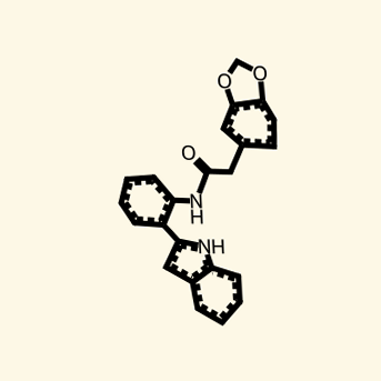 O=C(Cc1ccc2c(c1)OCO2)Nc1ccccc1-c1cc2ccccc2[nH]1